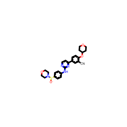 N#Cc1cc(-c2ccnc(Nc3ccc([S+]([O-])N4CCOCC4)cc3)n2)ccc1OC1CCOCC1